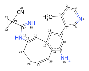 Cc1ccncc1-c1cc(N)c2c(c1)/C=C(/NC(=N)C1(C#N)CC1)CC/C=C\2